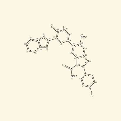 CNC(=O)c1c(-c2ccc(F)cc2)oc2cc(NC)c(-c3c[nH]c(=O)c(-c4nc5ccccc5o4)c3)cc12